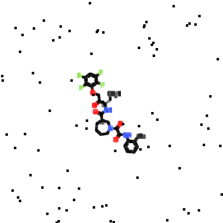 CC(C)(C)c1ccccc1NC(=O)C(=O)N1CCCC[C@@H](C(=O)N[C@@H](CC(=O)O)C(=O)COc2c(F)c(F)cc(F)c2F)C1